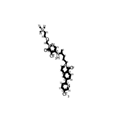 CC(CCCn1ccc2cc(-c3ccc(C(F)(F)F)cn3)ccc2c1=O)Nc1cnn(COCC[Si](C)(C)C)c(=O)c1C(F)(F)F